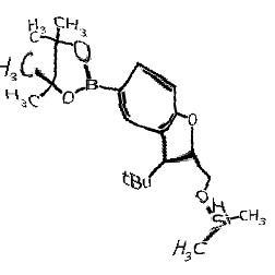 C[SiH](C)OCC1Oc2ccc(B3OC(C)(C)C(C)(C)O3)cc2C1C(C)(C)C